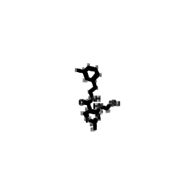 Cc1cccc(CCNC(=O)c2cnc(C)nc2NCC(C)(C)C)c1